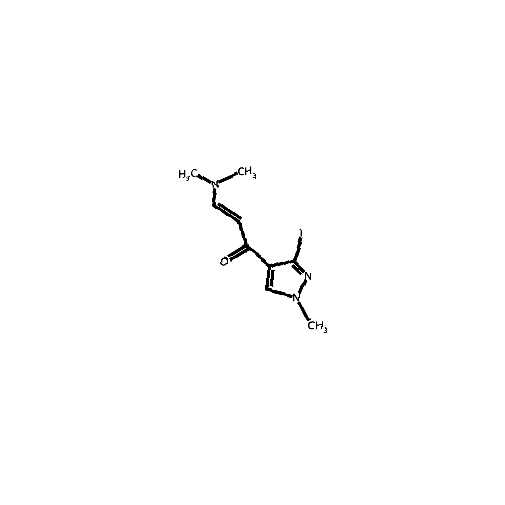 CN(C)/C=C/C(=O)c1cn(C)nc1I